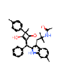 CC(=O)NC(C)(C)Cc1c(C(C2=C(O)C(C)(c3ccc(C)cc3)C2=O)c2ccccc2)[nH]c2cc(C)ccc12